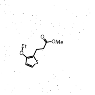 CCOc1ccsc1CCC(=O)OC